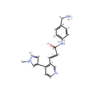 Cn1cc(-c2ccncc2/C=C/C(=O)Nc2ccc(CN)cc2)cn1